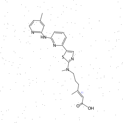 C/C(=C\C(=O)O)CCCN(C)c1ncc(-c2cccc(Nc3cc(C)ccn3)n2)s1